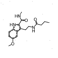 CCCC(=O)NCCc1c(C(=O)NC)[nH]c2ccc(OC)cc12